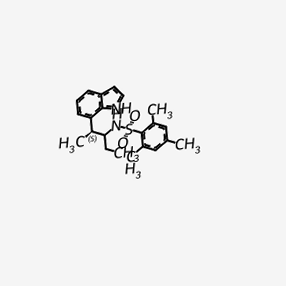 CCC(NS(=O)(=O)c1c(C)cc(C)cc1C)[C@@H](C)c1cccc2cc[nH]c12